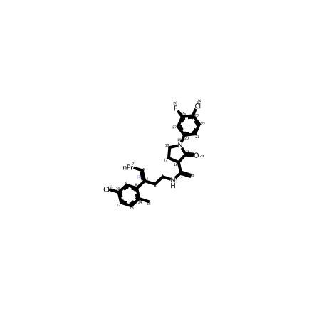 C=C(NCC/C(=C/CCC)c1cc(Cl)ccc1C)C1CCN(c2ccc(Cl)c(F)c2)C1=O